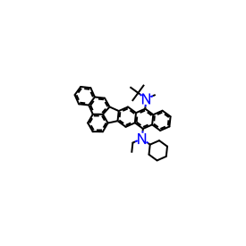 CCN(c1c2ccccc2c(N(C)C(C)(C)C)c2cc3c(cc12)-c1cccc2c1c-3cc1ccccc12)C1CCCCC1